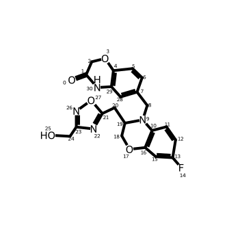 O=C1COc2ccc(CN3c4ccc(F)cc4OCC3Cc3nc(CO)no3)cc2N1